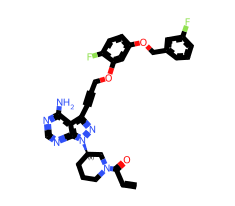 C=CC(=O)N1CCC[C@@H](n2nc(C#CCOc3cc(OCc4cccc(F)c4)ccc3F)c3c(N)ncnc32)C1